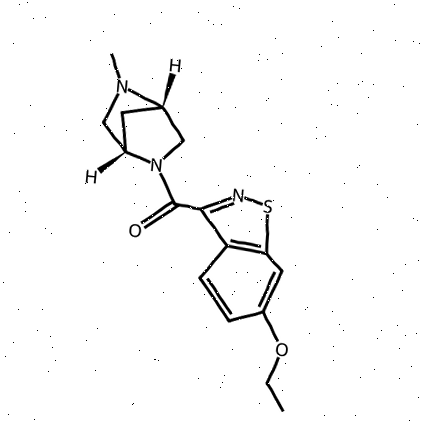 CCOc1ccc2c(C(=O)N3C[C@@H]4C[C@H]3CN4C)nsc2c1